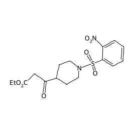 CCOC(=O)CC(=O)C1CCN(S(=O)(=O)c2ccccc2[N+](=O)[O-])CC1